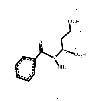 NN(C(=O)c1ccccc1)[C@@H](CCC(=O)O)C(=O)O